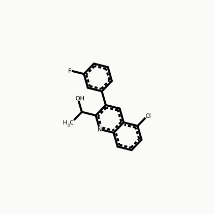 CC(O)c1nc2cccc(Cl)c2cc1-c1cccc(F)c1